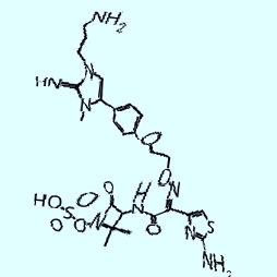 Cn1c(-c2ccc(OCCO/N=C(\C(=O)NC3C(=O)N(OS(=O)(=O)O)C3(C)C)c3csc(N)n3)cc2)cn(CCCN)c1=N